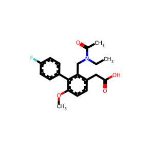 CCN(Cc1c(CC(=O)O)ccc(OC)c1-c1ccc(F)cc1)C(C)=O